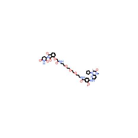 COc1cc(C(=O)NCCCOCCOCCOCCCNC(=O)COc2cccc3c2C(=O)N(C2CCC(=O)NC2=O)C3=O)ccc1Nc1ccc2c(n1)N(C1CCCC1)[C@H](C)C(=O)N2C